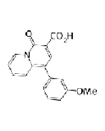 COc1cccc(-c2cc(C(=O)O)c(=O)n3ccccc23)c1